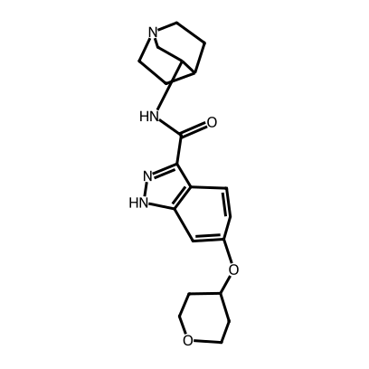 O=C(NC1CN2CCC1CC2)c1n[nH]c2cc(OC3CCOCC3)ccc12